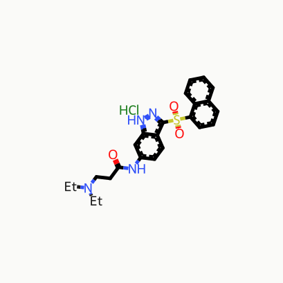 CCN(CC)CCC(=O)Nc1ccc2c(S(=O)(=O)c3cccc4ccccc34)n[nH]c2c1.Cl